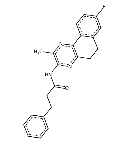 Cc1nc2c(nc1NC(=O)CCc1ccccc1)CCc1cc(F)ccc1-2